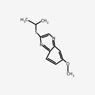 COc1ccc2nc(SC(C)C)cnc2c1